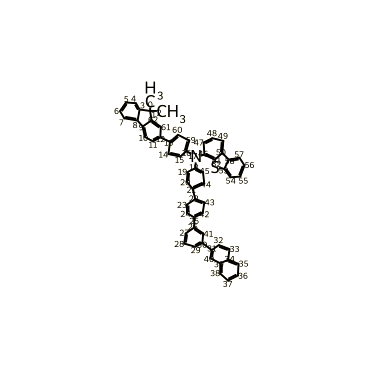 CC1(C)c2ccccc2-c2ccc(-c3ccc(N(c4ccc(-c5ccc(-c6cccc(-c7ccc8ccccc8c7)c6)cc5)cc4)c4cccc5c4sc4ccccc45)cc3)cc21